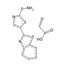 NSc1ncc(-c2nc3ccccc3s2)s1.O=CC(=O)O